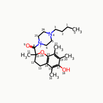 CCCCN1CCN(C(=O)C2(C)CCc3c(C)c(O)c(C)c(C)c3O2)CC1